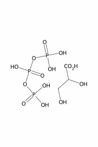 O=C(O)C(O)CO.O=P(O)(O)OP(=O)(O)OP(=O)(O)O